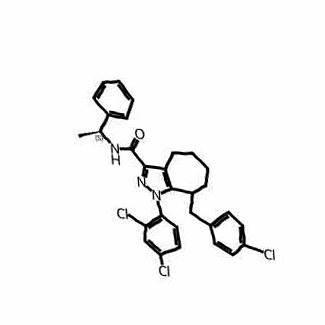 C[C@H](NC(=O)c1nn(-c2ccc(Cl)cc2Cl)c2c1CCCCC2Cc1ccc(Cl)cc1)c1ccccc1